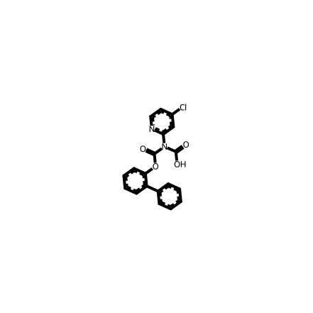 O=C(O)N(C(=O)Oc1ccccc1-c1ccccc1)c1cc(Cl)ccn1